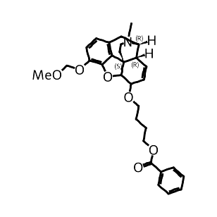 COCOc1ccc2c3c1OC1C(OCCCCOC(=O)c4ccccc4)C=C[C@H]4[C@@H](C2)N(C)CC[C@]314